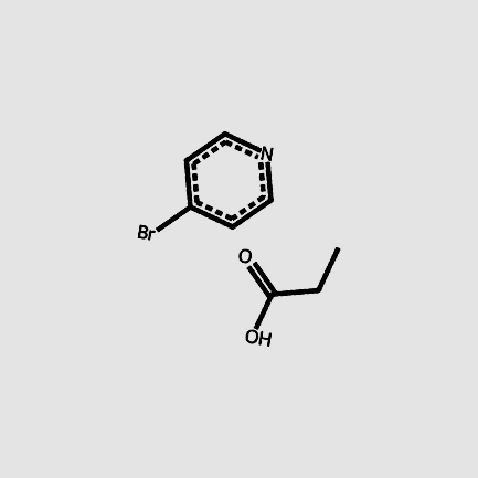 Brc1ccncc1.CCC(=O)O